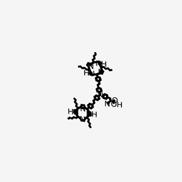 CCCCCc1c2nc(c(CCCCC)c3ccc([nH]3)c(-c3ccc(/C=C/c4ccc(N(c5ccc(/C=C/c6ccc(-c7c8nc(c(CCCCC)c9ccc([nH]9)c(CCCCC)c9nc(c(CCCCC)c%10ccc7[nH]%10)C=C9)C=C8)cc6)cc5)c5ccc(/C=C(\C#N)C(=O)O)cc5)cc4)cc3)c3nc(c(CCCCC)c4ccc1[nH]4)C=C3)C=C2